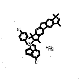 CC1=CC(C)(C)c2cc3c(cc21)-c1cc2c(cc1C3)C(C)(C)[C]([Zr](=[CH]c1ccc(Cl)cc1)(=[CH]c1ccc(Cl)cc1)[C]1=CC=CC1)=C2C.Cl.Cl